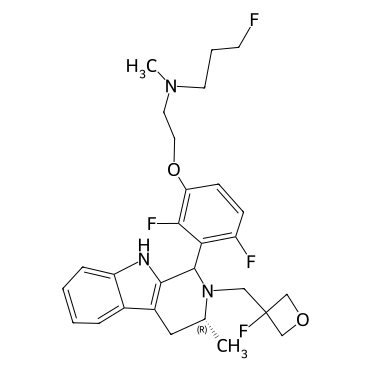 C[C@@H]1Cc2c([nH]c3ccccc23)C(c2c(F)ccc(OCCN(C)CCCF)c2F)N1CC1(F)COC1